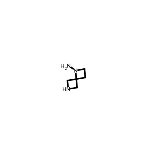 NN1CCC12CNC2